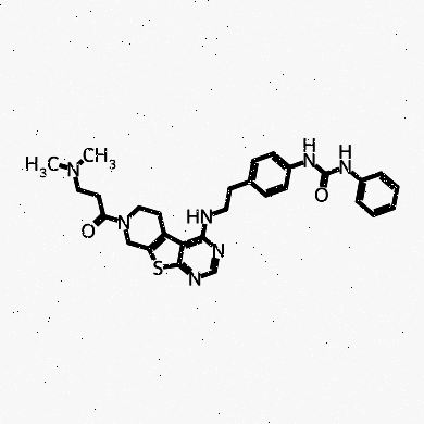 CN(C)CCC(=O)N1CCc2c(sc3ncnc(NCCc4ccc(NC(=O)Nc5ccccc5)cc4)c23)C1